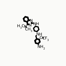 CN(C)c1nc(N[C@H]2CC[C@@H](NCc3ccc(N)cc3OC(F)(F)F)CC2)nc2ccccc12